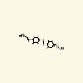 CCCC=C[C@H]1CC[C@H](CC[C@H]2CC[C@H](OCCCC)CC2)CC1